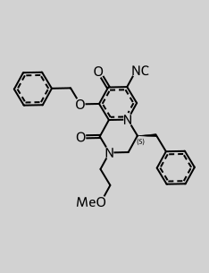 [C-]#[N+]c1cn2c(c(OCc3ccccc3)c1=O)C(=O)N(CCOC)C[C@@H]2Cc1ccccc1